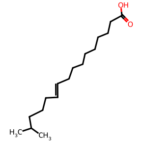 CC(C)CCCC=CCCCCCCCCC(=O)O